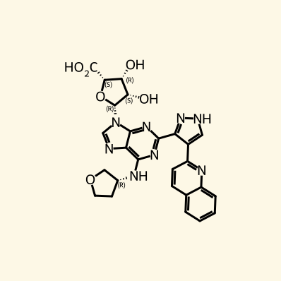 O=C(O)[C@H]1O[C@@H](n2cnc3c(N[C@@H]4CCOC4)nc(-c4n[nH]cc4-c4ccc5ccccc5n4)nc32)[C@@H](O)[C@H]1O